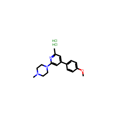 COc1ccc(-c2cc(C)nc(N3CCN(C)CC3)c2)cc1.Cl.Cl